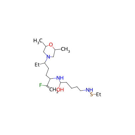 C=C(F)C(CCC(CC)N1CC(C)OC(C)C1)NC(O)CCCCNSCC